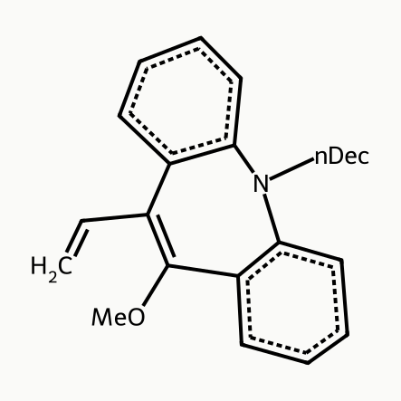 C=CC1=C(OC)c2ccccc2N(CCCCCCCCCC)c2ccccc21